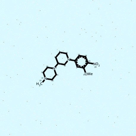 COc1cc(N2CCCC(N3CCN(C)CC3)C2)ccc1[N+](=O)[O-]